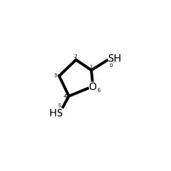 SC1CCC(S)O1